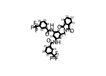 O=C(Nc1cc(CN2C(=O)c3ccccc3C2=O)cc(NC(=O)c2cccc(C(F)(F)F)c2)c1)c1cccc(C(F)(F)F)c1